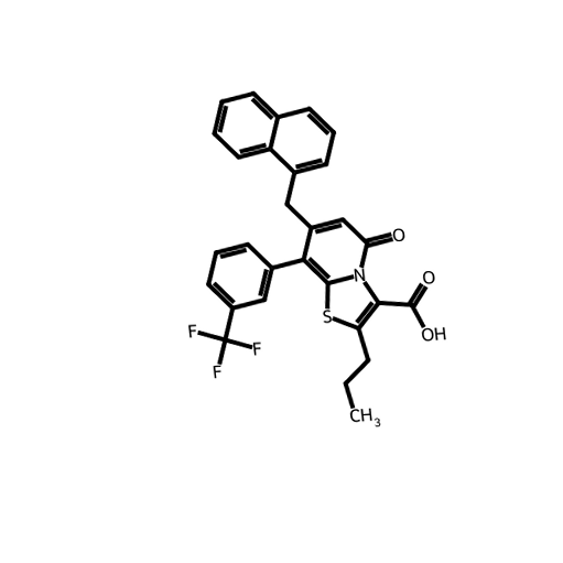 CCCc1sc2c(-c3cccc(C(F)(F)F)c3)c(Cc3cccc4ccccc34)cc(=O)n2c1C(=O)O